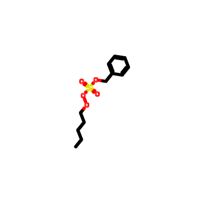 CCCCCOOS(=O)(=O)OCc1ccccc1